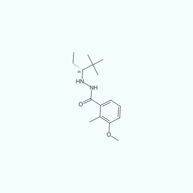 CC[C@@H](NNC(=O)c1cccc(OC)c1C)C(C)(C)C